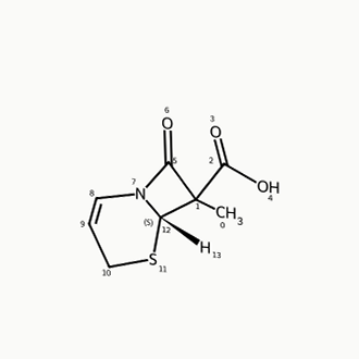 CC1(C(=O)O)C(=O)N2C=CCS[C@H]21